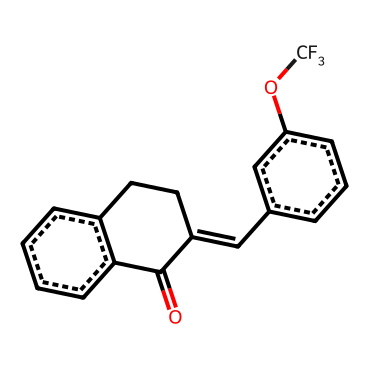 O=C1C(=Cc2cccc(OC(F)(F)F)c2)CCc2ccccc21